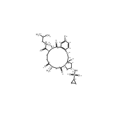 CC(C)CNC(=O)[C@@H]1CCC(=O)N(C)CC(=O)N2C[C@@H](NS(=O)(=O)C3CC3)C[C@H]2COc2ccc(F)cc2C(=O)N1C